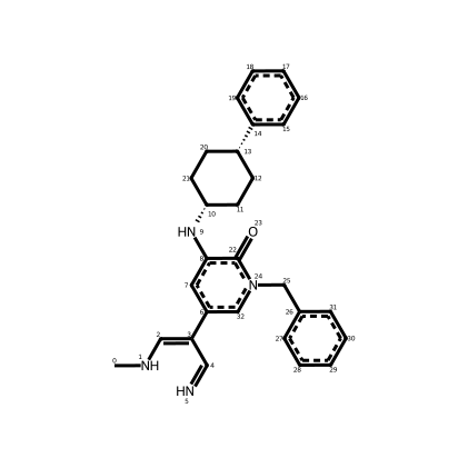 CN/C=C(\C=N)c1cc(N[C@H]2CC[C@@H](c3ccccc3)CC2)c(=O)n(Cc2ccccc2)c1